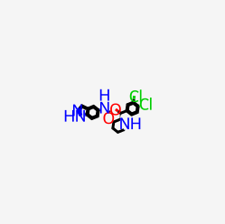 O=C(Nc1ccc2[nH]ncc2c1)OC(c1ccc(Cl)c(Cl)c1)[C@H]1CCCCN1